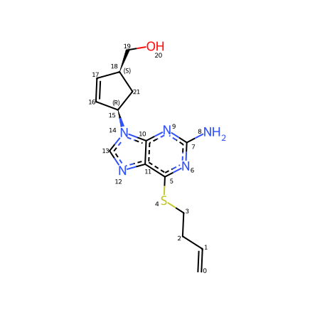 C=CCCSc1nc(N)nc2c1ncn2[C@H]1C=C[C@@H](CO)C1